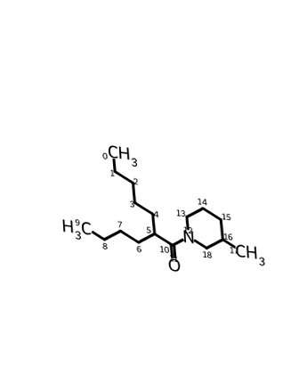 CCCCCC(CCCC)C(=O)N1CCCC(C)C1